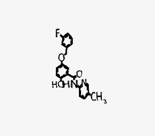 Cc1ccc(NC(=O)c2cc(OCc3cccc(F)c3)ccc2O)nc1